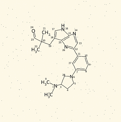 CN(C)C1CCN(c2cccc(-c3cnc4[nH]cc(CC(C)(C)C=O)c4n3)c2)C1